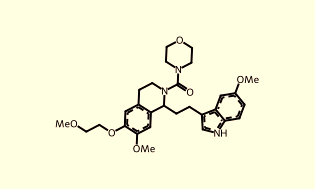 COCCOc1cc2c(cc1OC)C(CCc1c[nH]c3ccc(OC)cc13)N(C(=O)N1CCOCC1)CC2